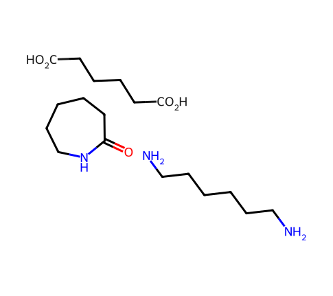 NCCCCCCN.O=C(O)CCCCC(=O)O.O=C1CCCCCN1